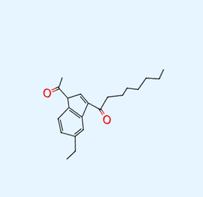 CCCCCCCC(=O)C1=CC(C(C)=O)c2ccc(CC)cc21